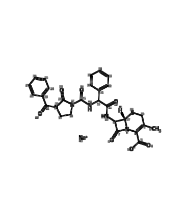 CC1=C(C(=O)[O-])N2C(=O)C(NC(=O)C(NC(=O)N3CCN(C(=O)c4ccccc4)C3=O)c3ccccc3)[C@@H]2SC1.[Na+]